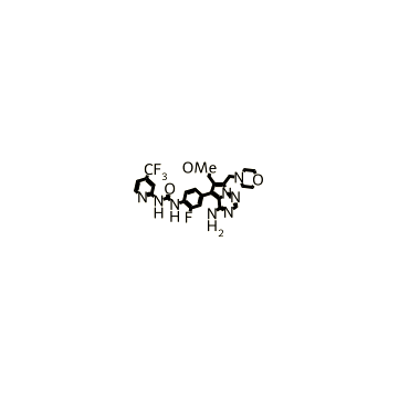 COCc1c(-c2ccc(NC(=O)Nc3cc(C(F)(F)F)ccn3)c(F)c2)c2c(N)ncnn2c1CN1CCOCC1